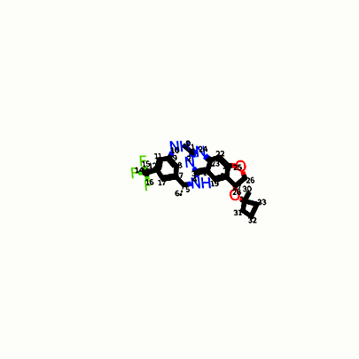 Cc1nc(N[C@H](C)c2cc(N)cc(C(F)(F)F)c2)c2cc3c(cc2n1)OCC3OC1(C)CCC1